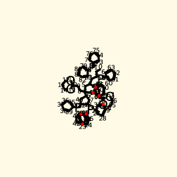 CC(C(CC(CC(C)(CCC1OCCCO1)C1CC(P(c2ccccc2)c2ccccc2)C(P(c2ccccc2)c2ccccc2)C1)C(C)(C)CCC1OCCCO1)P(c1ccccc1)c1ccccc1)P(c1ccccc1)c1ccccc1